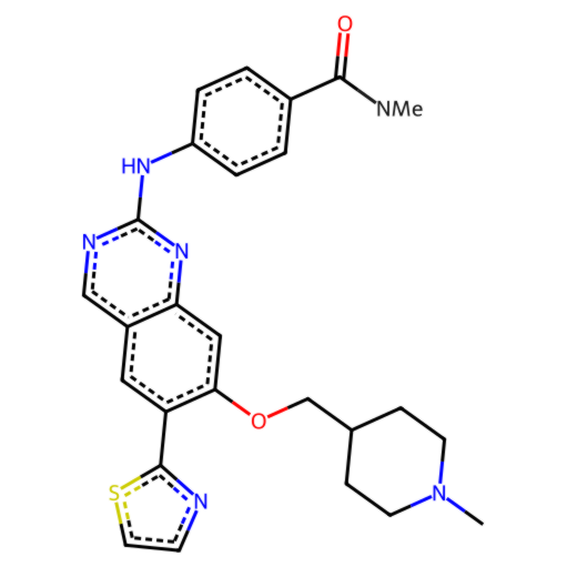 CNC(=O)c1ccc(Nc2ncc3cc(-c4nccs4)c(OCC4CCN(C)CC4)cc3n2)cc1